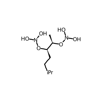 CC(C)CC[C@@H](ON(O)O)[C@@H](C)ON(O)O